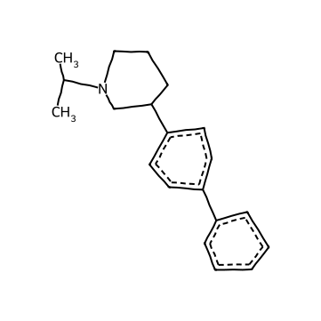 CC(C)N1CCCC(c2ccc(-c3ccccc3)cc2)C1